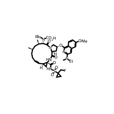 CCN(C)c1cc2cc(OC)ccc2c(O[C@@H]2C[C@H]3C(=O)N[C@]4(C(=O)NS(=O)(=O)C5(CF)CC5)C[C@H]4/C=C\CC[C@@H](C)C[C@@H](C)[C@H](N(C(=O)O)C(C)(C)C)C(=O)N3C2)n1